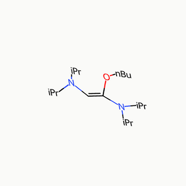 CCCCO/C(=C\N(C(C)C)C(C)C)N(C(C)C)C(C)C